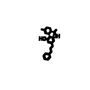 C=C(C)[C@@H]1CCC(C)=C[C@H]1c1c(O)cc(CCCc2ccccc2)cc1O